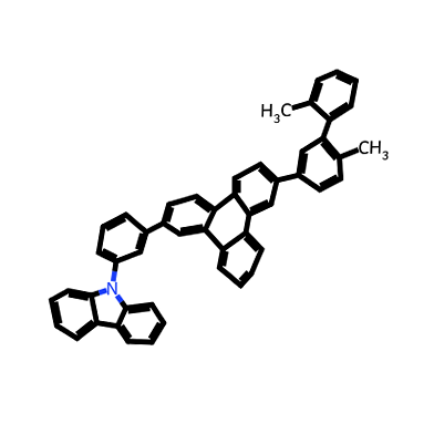 Cc1ccccc1-c1cc(-c2ccc3c4ccc(-c5cccc(-n6c7ccccc7c7ccccc76)c5)cc4c4ccccc4c3c2)ccc1C